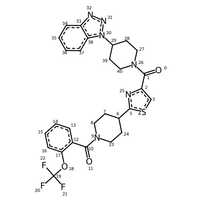 O=C(c1csc(C2CCN(C(=O)c3ccccc3OC(F)(F)F)CC2)n1)N1CCC(n2nnc3ccccc32)CC1